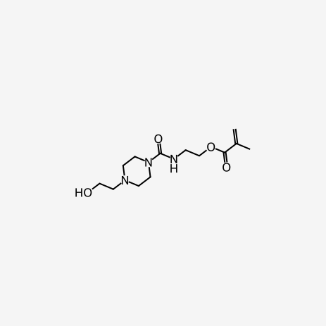 C=C(C)C(=O)OCCNC(=O)N1CCN(CCO)CC1